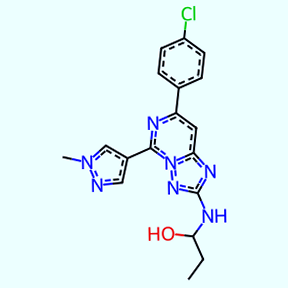 CCC(O)Nc1nc2cc(-c3ccc(Cl)cc3)nc(-c3cnn(C)c3)n2n1